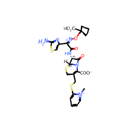 C[n+]1ccccc1SCC1=C(C(=O)[O-])N2C(=O)[C@@H](NC(=O)/C(=N\OC3(C(=O)O)CCC3)c3csc(N)n3)[C@H]2SC1